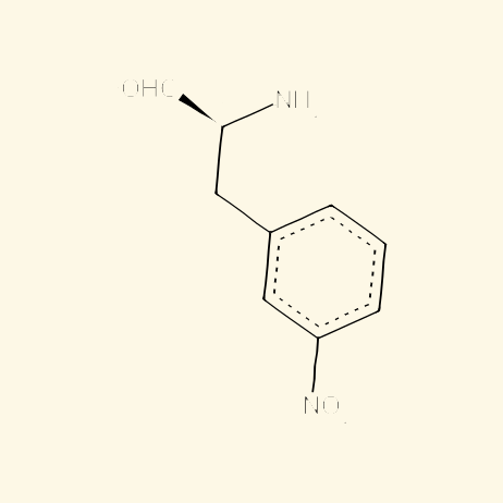 N[C@H]([C]=O)Cc1cccc([N+](=O)[O-])c1